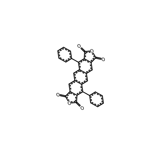 O=c1oc(=O)c2c(-c3ccccc3)c3cc4cc5c(=O)oc(=O)c5c(-c5ccccc5)c4cc3cc12